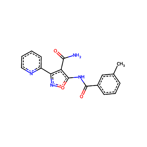 Cc1cccc(C(=O)Nc2onc(-c3ccccn3)c2C(N)=O)c1